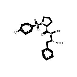 Cc1ccc(S(=O)(=O)N2CCC[C@H]2C(=O)N(O)[C@@H](Cc2ccccc2)C(=O)O)cc1